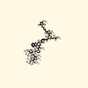 CC[C@H](C)[C@@H]([C@@H](CC(=O)N1CCC[C@H]1[C@H](OC)[C@@H](C)C(=O)N[C@@H](Cc1ccccc1)C(=O)Nc1ccc(NC(=O)[C@H](CCCNC(N)=O)NC(=O)[C@@H](NC(=O)CCCCCN2C(=O)CC(C)C2=O)C(C)C)cc1)OC)N(C)C(=O)[C@@H](NC(=O)[C@H](C(C)C)N(C)C)C(C)C